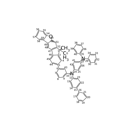 CC1(C)c2cc(-c3cccc(N(c4ccc(-c5ccccc5)cc4)c4ccc(N(c5ccccc5)c5ccccc5)cc4)c3)ccc2-c2cc3c(cc21)oc1ccccc13